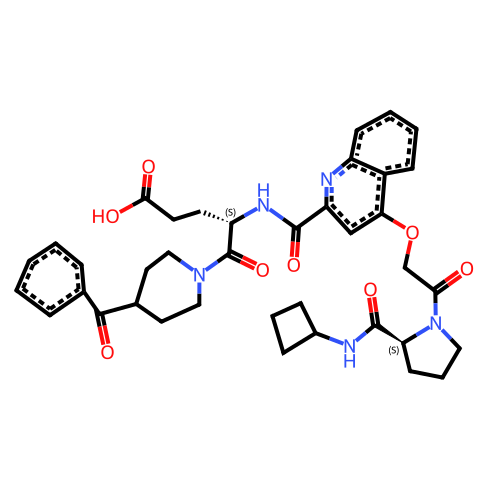 O=C(O)CC[C@H](NC(=O)c1cc(OCC(=O)N2CCC[C@H]2C(=O)NC2CCC2)c2ccccc2n1)C(=O)N1CCC(C(=O)c2ccccc2)CC1